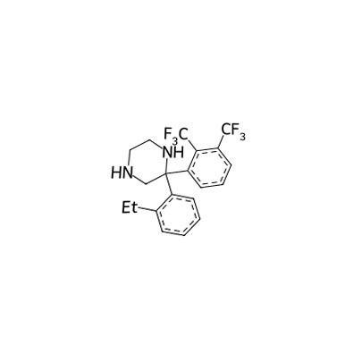 CCc1ccccc1C1(c2cccc(C(F)(F)F)c2C(F)(F)F)CNCCN1